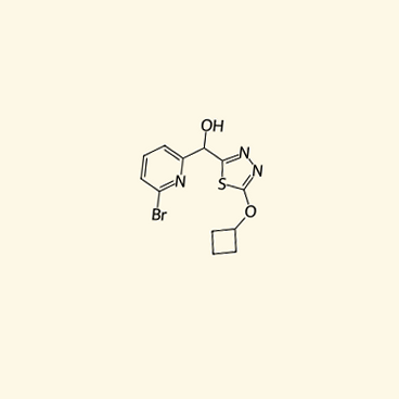 OC(c1cccc(Br)n1)c1nnc(OC2CCC2)s1